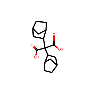 O=C(O)C(C(=O)O)(C1CC2CCC1C2)C1CC2CCC1C2